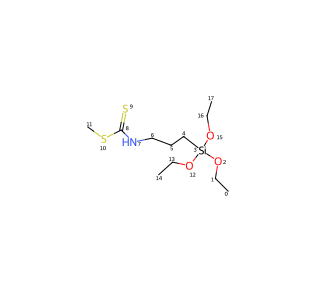 CCO[Si](CCCNC(=S)SC)(OCC)OCC